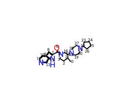 CC1CCN(C(=O)c2cc3ccncc3[nH]2)CC1N1CCN(C2CCCC2)CC1